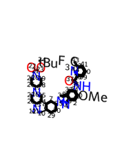 COc1cc2nn([C@H]3CC[C@H](CN(C)C4CCN(C5CCN(C(=O)OC(C)(C)C)CC5)CC4)CC3)cc2cc1NC(=O)c1cccc(C(F)(F)F)n1